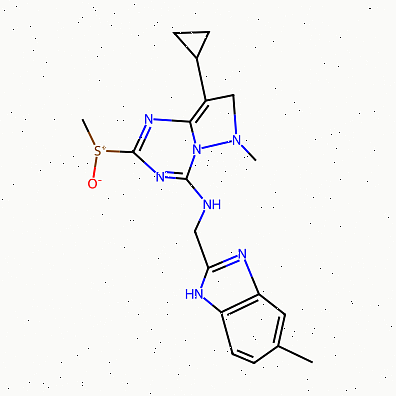 Cc1ccc2[nH]c(CNC3=NC([S+](C)[O-])=NC4=C(C5CC5)CN(C)N34)nc2c1